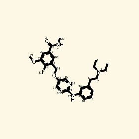 CCN(CC)CCc1cccc(Nc2ncc(OCc3cc(C(=O)NC)cc(OC)c3F)cn2)c1